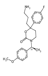 COc1ccc([C@H](C)N2CCC(CCCN)(c3ccc(F)cc3)OC2=O)cc1